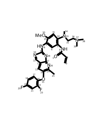 C=CC(=O)Nc1cc(Nc2ncc3cc(Oc4ccc(F)cc4F)c(C)nc3n2)c(OC)cc1N(C)CCN(C)C